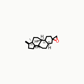 C=C1CC[C@H]2[C@@H]3CC[C@@H]4CC5(CC[C@@H]4[C@H]3CC[C@]12C)CO5